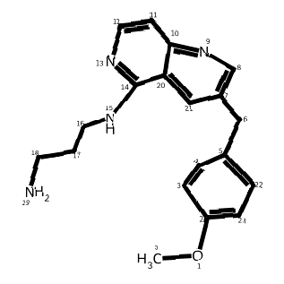 COc1ccc(Cc2cnc3ccnc(NCCCN)c3c2)cc1